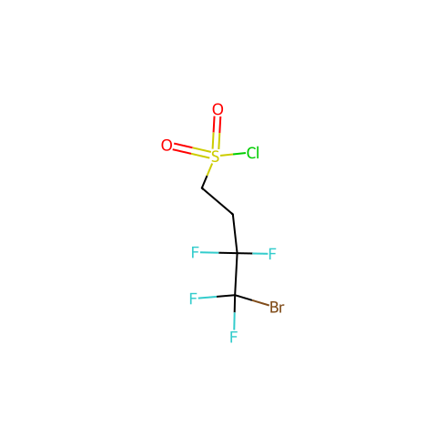 O=S(=O)(Cl)CCC(F)(F)C(F)(F)Br